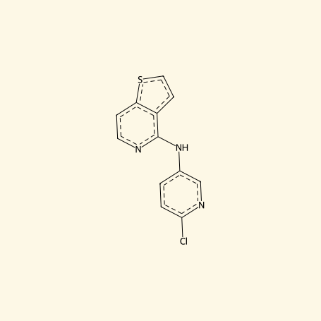 Clc1ccc(Nc2nccc3sccc23)cn1